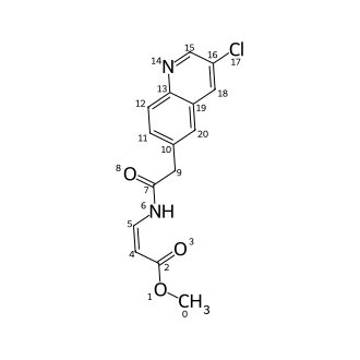 COC(=O)/C=C\NC(=O)Cc1ccc2ncc(Cl)cc2c1